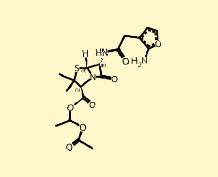 CC(=O)OC(C)OC(=O)[C@@H]1N2C(=O)[C@@H](NC(=O)Cc3ccoc3N)[C@H]2SC1(C)C